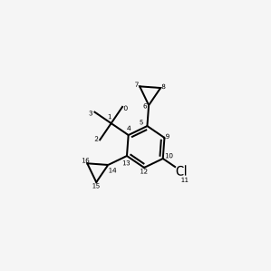 CC(C)(C)c1c(C2CC2)cc(Cl)cc1C1CC1